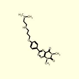 CN(C)CCNCCCOc1ccc(-c2nnc3c(n2)c(=O)n(C)c(=O)n3C)cc1